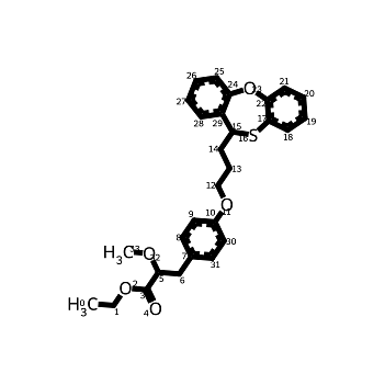 CCOC(=O)C(Cc1ccc(OCCCC2Sc3ccccc3Oc3ccccc32)cc1)OC